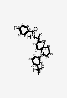 CC(NC(=O)c1ccc(F)cc1)c1ccc2c(n1)CCCN2c1cccc(C(F)(F)F)n1